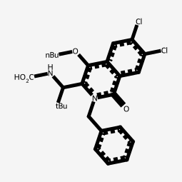 CCCCOc1c(C(NC(=O)O)C(C)(C)C)n(Cc2ccccc2)c(=O)c2cc(Cl)c(Cl)cc12